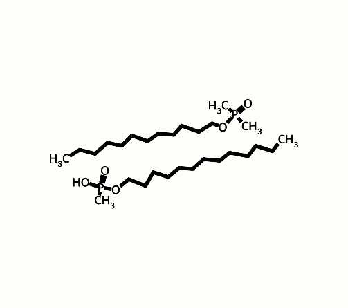 CCCCCCCCCCCCCOP(C)(=O)O.CCCCCCCCCCCCOP(C)(C)=O